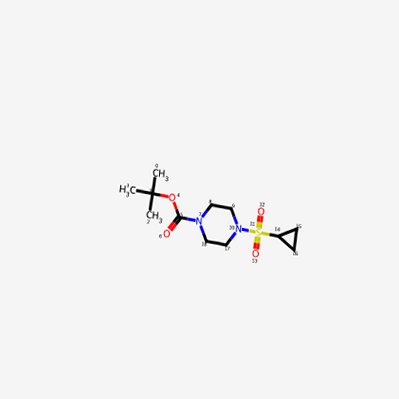 CC(C)(C)OC(=O)N1CCN(S(=O)(=O)C2CC2)CC1